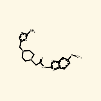 COc1ccc2nc(NC(=O)CN3CCN(Cc4cnc(N)s4)CC3)sc2c1